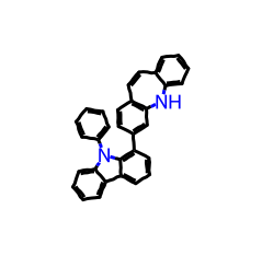 C1=Cc2ccc(-c3cccc4c5ccccc5n(-c5ccccc5)c34)cc2Nc2ccccc21